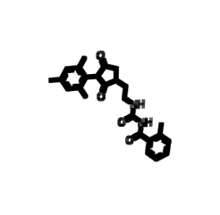 Cc1cc(C)c(C2C(=O)CC(CCNC(=O)NC(=O)c3ccccc3C)C2=O)c(C)c1